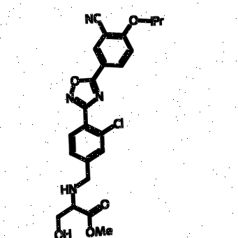 COC(=O)C(CO)NCc1ccc(-c2noc(-c3ccc(OC(C)C)c(C#N)c3)n2)c(Cl)c1